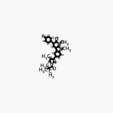 Cc1cn(C(=O)C(C)(C)C)nc1-c1ccc2c(c1)c1cc(-c3ccc(F)cc3)c(=O)n(C)c1n2C